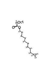 CCCCCCCCC(=O)OCCCCCCCCCC1CC1